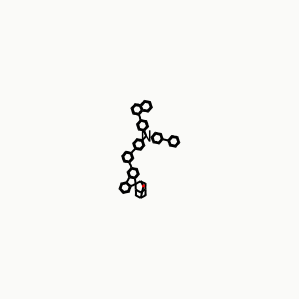 c1ccc(-c2ccc(N(c3ccc(-c4cccc(-c5ccc6c(c5)-c5ccccc5C65C6CC7CC(C6)CC5C7)c4)cc3)c3ccc(-c4cccc5ccccc45)cc3)cc2)cc1